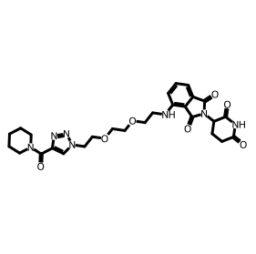 O=C1CCC(N2C(=O)c3cccc(NCCOCCOCCn4cc(C(=O)N5CCCCC5)nn4)c3C2=O)C(=O)N1